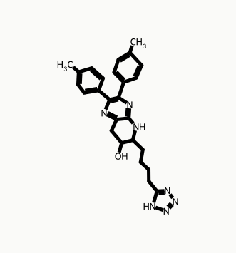 Cc1ccc(-c2nc3c(nc2-c2ccc(C)cc2)NC(CCCCc2nnn[nH]2)C(O)C3)cc1